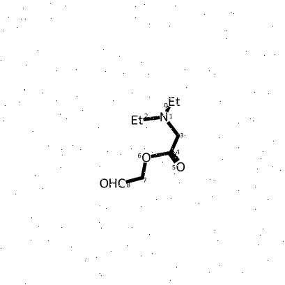 CCN(CC)CC(=O)OCC=O